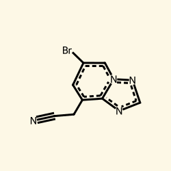 N#CCc1cc(Br)cn2ncnc12